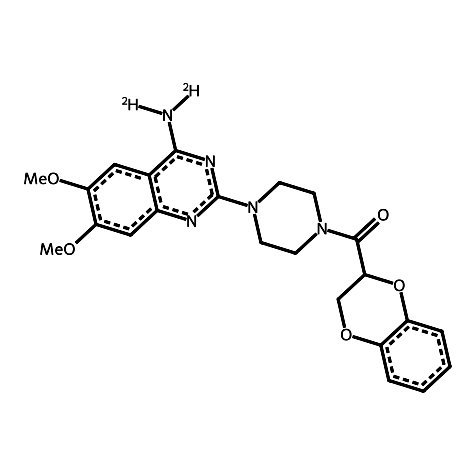 [2H]N([2H])c1nc(N2CCN(C(=O)C3COc4ccccc4O3)CC2)nc2cc(OC)c(OC)cc12